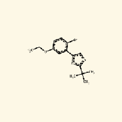 CCOc1ccc(Br)c(-c2csc(C(C)(C)C)n2)c1